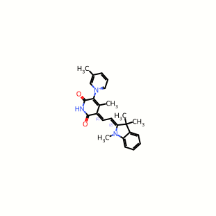 CC1=C([n+]2cccc(C)c2)C(=O)NC(=O)/C1=C/C=C1\N(C)c2ccccc2C1(C)C